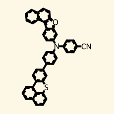 N#Cc1ccc(N(c2ccc(-c3ccc4c(c3)Sc3cccc5cccc-4c35)cc2)c2ccc3c(c2)oc2ccc4ccccc4c23)cc1